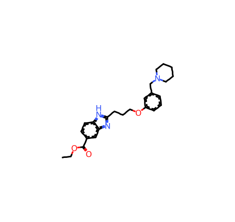 CCOC(=O)c1ccc2[nH]c(CCCOc3cccc(CN4CCCCC4)c3)nc2c1